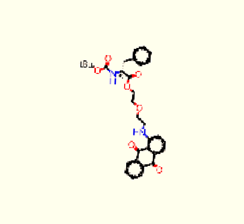 CC(C)(C)OC(=O)N[C@H](Cc1ccccc1)C(=O)OCCOCCNc1cccc2c1C(=O)c1ccccc1C2=O